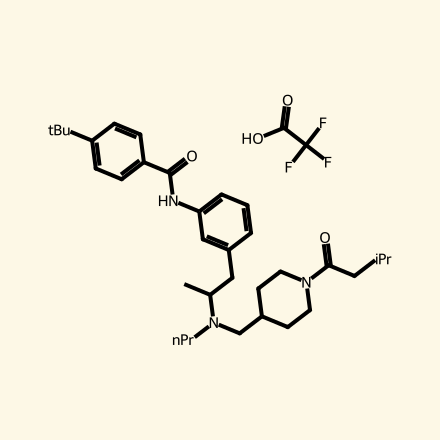 CCCN(CC1CCN(C(=O)CC(C)C)CC1)C(C)Cc1cccc(NC(=O)c2ccc(C(C)(C)C)cc2)c1.O=C(O)C(F)(F)F